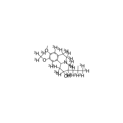 [2H]c1c(OC([2H])([2H])[2H])c(OC)c([2H])c2c1C1N(C([2H])([2H])C2([2H])[2H])C([2H])([2H])C([2H])(C([2H])([2H])C([2H])(C)C([2H])([2H])[2H])C([2H])(O)C1([2H])[2H]